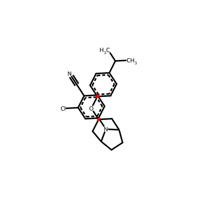 CC(C)c1ccc(OC2CC3CCC(C2)N3c2ccc(C#N)c(Cl)c2)cc1